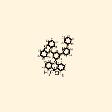 CC1(C)c2ccccc2N(c2cc(-c3cccc(-c4ccccc4)n3)cc(N3c4ccccc4Sc4ccccc43)c2)c2ccccc21